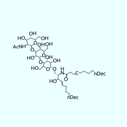 CCCCCCCCCCCCC/C=C/[C@@H](O)[C@H](CO[C@@H]1OC(CO)[C@@H](O[C@@H]2OC(CO)[C@H](O)[C@H](O[C@@H]3OC(CO)[C@@H](O)[C@H](O)C3NC(C)=O)C2O)[C@H](O)C1O)NC(=O)CCCCCCCCCCCCCCCCC